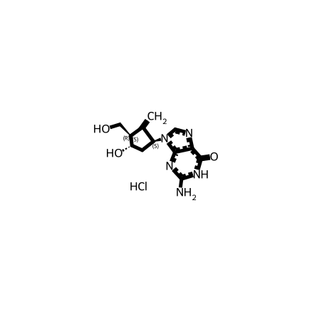 C=C1[C@H](CO)[C@@H](O)C[C@@H]1n1cnc2c(=O)[nH]c(N)nc21.Cl